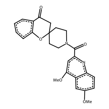 COc1ccc2nc(C(=O)N3CCC4(CC3)CC(=O)c3ccccc3O4)cc(OC)c2c1